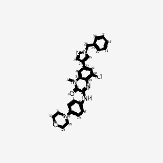 Cn1c(=O)c(Nc2ccc(N3CCOCC3)cc2)nc2c(Cl)cc(-c3cnn(Cc4ccccc4)c3)cc21